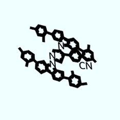 Cc1ccc(-c2ccc3c4ccc(-c5ccc(C)cc5C)cc4n(-c4cc(-c5cccc(C#N)c5)c(-n5c6cc(-c7ccc(C)cc7C)ccc6c6ccc(-c7ccc(C)cc7C)cc65)cn4)c3c2)c(C)c1